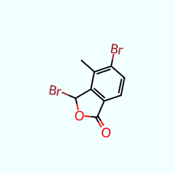 Cc1c(Br)ccc2c1C(Br)OC2=O